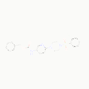 O=C(Nc1ccc(N2CCN(S(=O)(=O)c3cc(Cl)ccc3Cl)CC2)nc1)OCc1ccccc1